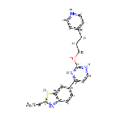 CC(=O)Nc1nc2ccc(-c3ccnc(OCCCc4ccncc4)n3)cc2s1